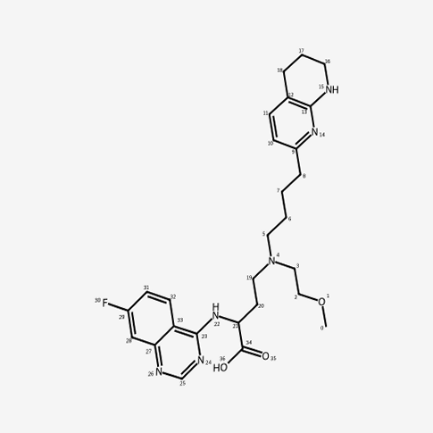 COCCN(CCCCc1ccc2c(n1)NCCC2)CCC(Nc1ncnc2cc(F)ccc12)C(=O)O